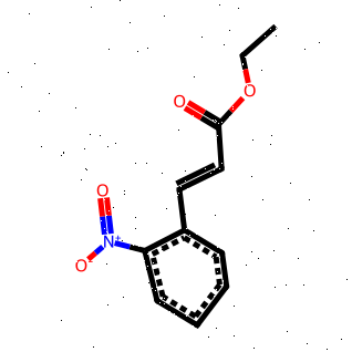 CCOC(=O)C=Cc1ccccc1[N+](=O)[O-]